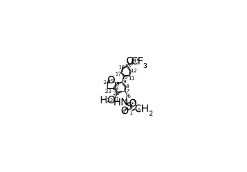 C=CS(=O)(=O)NCc1cc(-c2ccc(OC(F)(F)F)cc2)c2c(c1CO)CCO2